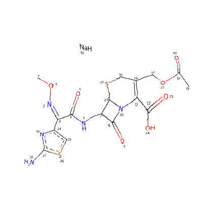 CO/N=C(\C(=O)NC1C(=O)N2C(C(=O)O)=C(COC(C)=O)CSC12)c1csc(N)n1.[NaH]